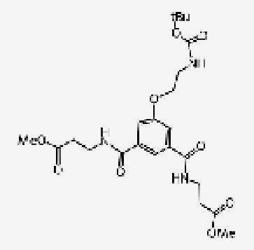 COC(=O)CCNC(=O)c1cc(OCCNC(=O)OC(C)(C)C)cc(C(=O)NCCC(=O)OC)c1